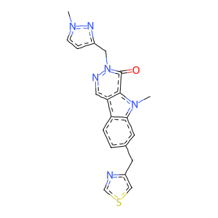 Cn1ccc(Cn2ncc3c4ccc(Cc5cscn5)cc4n(C)c3c2=O)n1